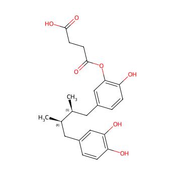 C[C@H](Cc1ccc(O)c(O)c1)[C@@H](C)Cc1ccc(O)c(OC(=O)CCC(=O)O)c1